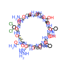 CCCC[C@H]1C(=O)N(C)[C@@H](CCCC)C(=O)N[C@@H](CCCNC(=N)N)C(=O)N[C@H](C(=O)NCC(N)=O)CSCC(=O)N[C@@H](Cc2ccc(Cl)cc2Cl)C(=O)N(C)[C@@H](C)C(=O)N[C@@H](CC(N)=O)C(=O)N2CCC[C@H]2C(=O)N[C@@H](CN)C(=O)N[C@@H](CC(C)C)C(=O)N2C[C@H](O)C[C@H]2C(=O)N[C@@H](Cc2c[nH]c3ccccc23)C(=O)N[C@@H](CO)C(=O)N[C@@H](Cc2c[nH]c3ccccc23)C(=O)N1C